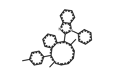 Cc1ccc(-c2c(C)ccccc(C)c(-c3nc4ccccc4n3-c3ccccc3)c3ccccc23)cc1